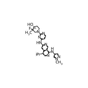 CC(C)c1cnc(Nc2cnn(C)c2)c2cnc(Nc3ccnc(N4CC[C@@H](O)[C@@](C)(F)C4)n3)cc12